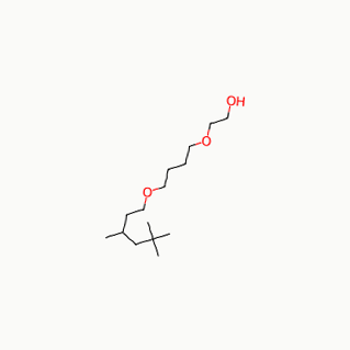 CC(CCOCCCCOCCO)CC(C)(C)C